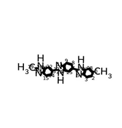 Cc1ccc2nc(-c3ccc4nc(-c5ccc6nc(C)[nH]c6c5)[nH]c4c3)[nH]c2c1